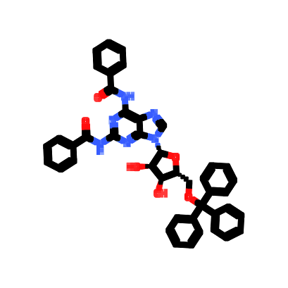 O=C(Nc1nc(NC(=O)c2ccccc2)c2ncn([C@@H]3O[C@H](COC(c4ccccc4)(c4ccccc4)c4ccccc4)[C@@H](O)[C@H]3O)c2n1)c1ccccc1